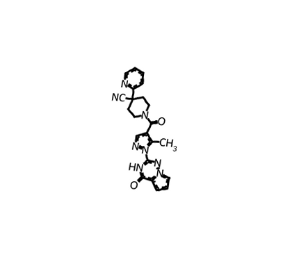 Cc1c(C(=O)N2CCC(C#N)(c3ccccn3)CC2)cnn1-c1nn2cccc2c(=O)[nH]1